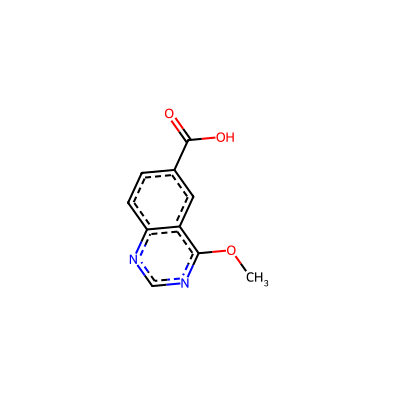 COc1ncnc2ccc(C(=O)O)cc12